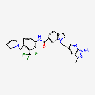 Cc1n[nH]c2ncc(CN3CCc4ccc(C(=O)Nc5ccc(CN6CCCC6)c(C(F)(F)F)c5)cc43)cc12